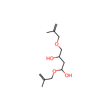 C=C(C)COCC(O)CC(O)OCC(=C)C